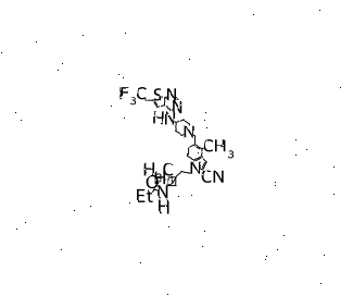 CCC(=O)NC12CC(CCn3c(C#N)cc4c(C)c(CN5CCC(Nc6ncnc7sc(CC(F)(F)F)cc67)CC5)ccc43)(C1)[C@@H]2C